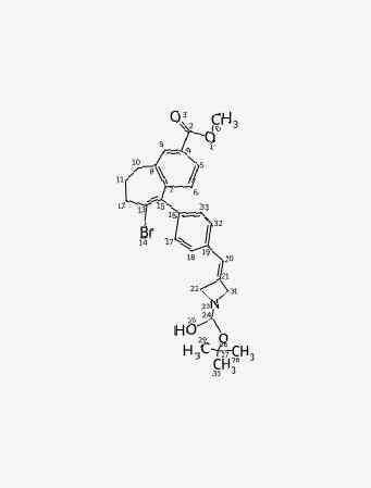 COC(=O)c1ccc2c(c1)CCCC(Br)=C2c1ccc(C=C2CN(C(O)OC(C)(C)C)C2)cc1